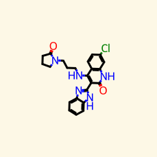 O=C1CCCN1CCCNc1c(-c2nc3ccccc3[nH]2)c(=O)[nH]c2cc(Cl)ccc12